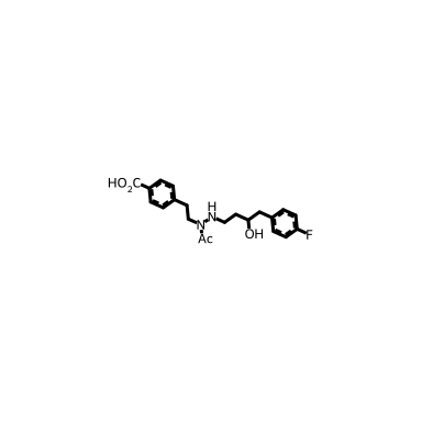 CC(=O)N(CCc1ccc(C(=O)O)cc1)NCCC(O)Cc1ccc(F)cc1